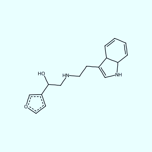 OC(CNCCC1=CNC2C=CC=CC12)c1ccoc1